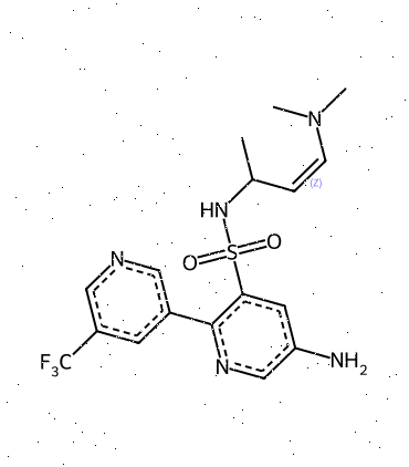 CC(/C=C\N(C)C)NS(=O)(=O)c1cc(N)cnc1-c1cncc(C(F)(F)F)c1